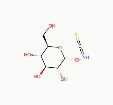 N=C=S.OC[C@H]1O[C@H](O)[C@H](O)[C@@H](O)[C@@H]1O